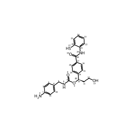 Nc1ccc(CNC(=O)O[C@H](CCO)c2ccc(C(=O)Nc3ccccc3S)cc2)cc1